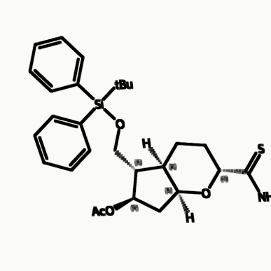 CC(=O)O[C@@H]1C[C@@H]2O[C@@H](C(N)=S)CC[C@@H]2[C@H]1CO[Si](c1ccccc1)(c1ccccc1)C(C)(C)C